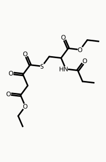 CCOC(=O)CC(=O)C(=O)SCC(NC(=O)CC)C(=O)OCC